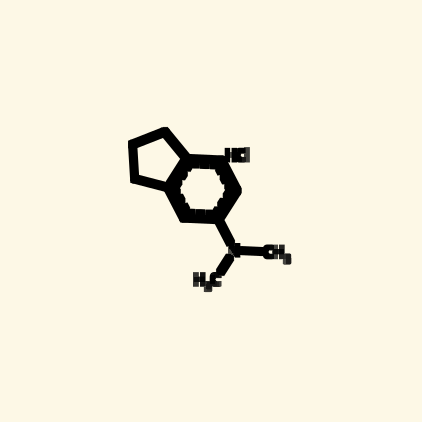 CN(C)c1ccc2c(c1)CCC2.Cl